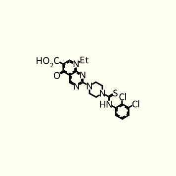 CCn1cc(C(=O)O)c(=O)c2cnc(N3CCN(C(=S)Nc4cccc(Cl)c4Cl)CC3)nc21